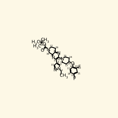 CCn1cc(-c2nc3c(nc2N2CCC(Oc4ccc(F)cc4F)CC2)CCN(C(=O)OC(C)(C)C)C3)cn1